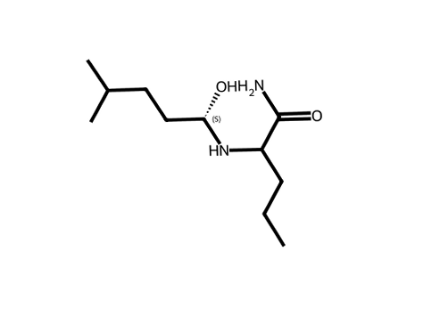 CCCC(N[C@@H](O)CCC(C)C)C(N)=O